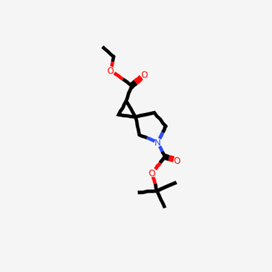 CCOC(=O)C1CC12CCN(C(=O)OC(C)(C)C)C2